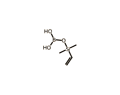 C=C[Si](C)(C)OB(O)O